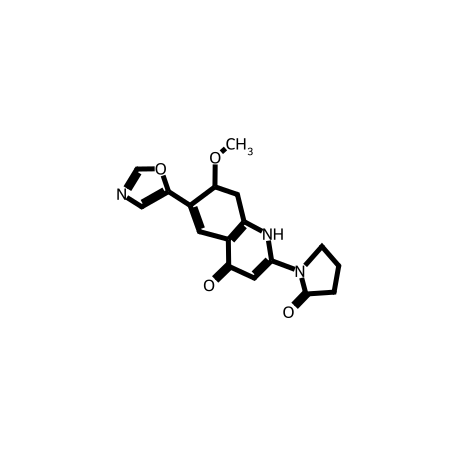 COC1Cc2[nH]c(N3CCCC3=O)cc(=O)c2C=C1c1cnco1